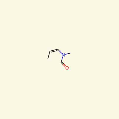 C/C=C\N(C)C=O